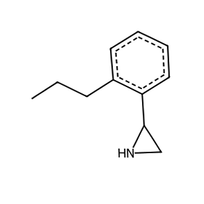 CCCc1ccccc1C1CN1